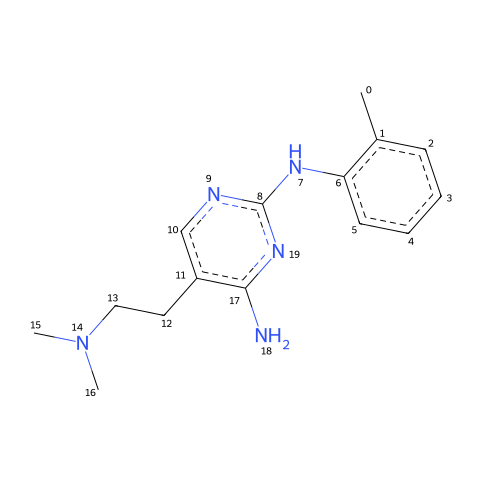 Cc1ccccc1Nc1ncc(CCN(C)C)c(N)n1